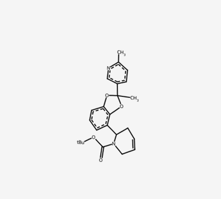 Cc1ccc(C2(C)Oc3cccc(C4CC=CCN4C(=O)OC(C)(C)C)c3O2)cn1